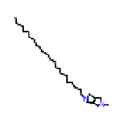 CCCCCCCCCCCCCCCCCCCCCCN1CC2CN(C)CC2C1